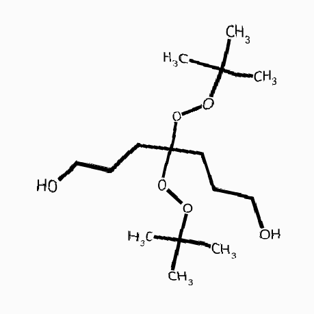 CC(C)(C)OOC(CCCO)(CCCO)OOC(C)(C)C